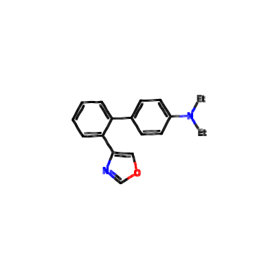 CCN(CC)c1ccc(-c2ccccc2-c2cocn2)cc1